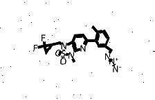 Cc1ccc(CN=[N+]=[N-])cc1-c1ccc2c(n1)N(C)S(=O)(=O)N2CC1CC1(F)F